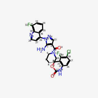 Nc1c(C(=O)N2CCC[C@@]3(C2)OC(=O)Nc2ccc(Cl)c(F)c23)cnn1-c1ccnc2c(F)cccc12